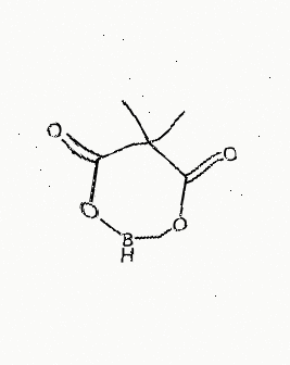 CC1(C)C(=O)OBOC1=O